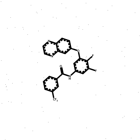 O=C(Nc1cc(F)c(F)c(Oc2ccc3nccnc3c2)c1)c1cccc(C(F)(F)F)c1